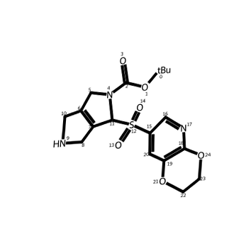 CC(C)(C)OC(=O)N1CC2=C(CNC2)C1S(=O)(=O)c1cnc2c(c1)OCCO2